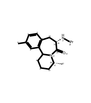 Cc1ccc2c(c1)C1CCC[C@@H](C)N1C(=O)[C@@H](NC(C)C)C2